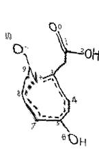 O=C(O)c1cc(O)cc[n+]1[O-]